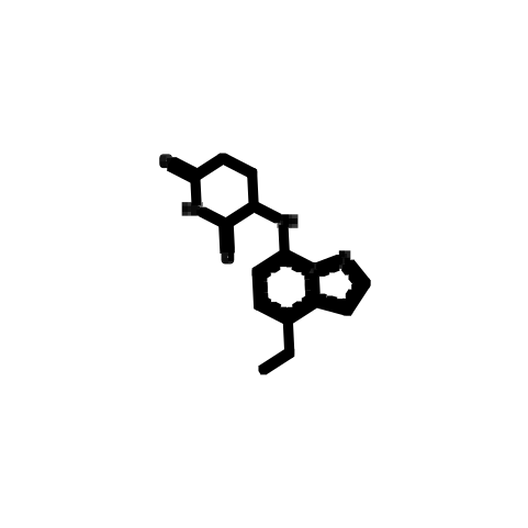 CCc1ccc(NC2CCC(=O)NC2=O)n2nccc12